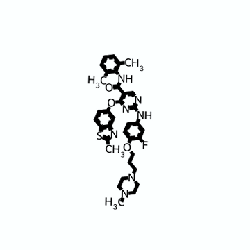 Cc1nc2cc(Oc3nc(Nc4ccc(OCCCN5CCN(C)CC5)c(F)c4)ncc3C(=O)Nc3c(C)cccc3C)ccc2s1